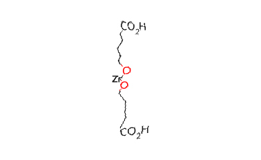 O=C(O)CCCCC[O][Zr][O]CCCCCC(=O)O